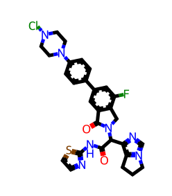 O=C(Nc1nccs1)C(c1ncn2c1CCC2)N1Cc2c(F)cc(-c3ccc(N4CCN(Cl)CC4)cc3)cc2C1=O